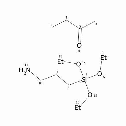 CCC(C)=O.CCO[Si](CCCN)(OCC)OCC